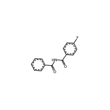 O=C(NC(=O)c1ccc(F)cc1)c1ccccc1